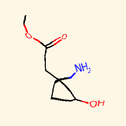 COC(=O)CC1(N)CC1O